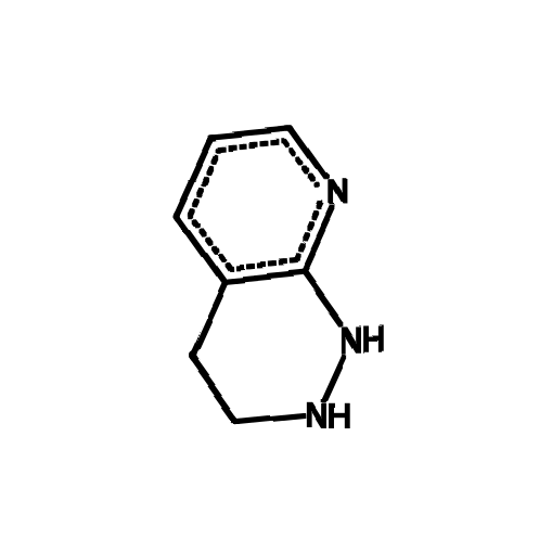 c1cnc2c(c1)CCNN2